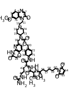 COc1ccc2ncc(=O)n(CCN3CCC(N(Cc4ccc5c(n4)NC(=O)CO5)C(=O)OCc4ccc(NC(=O)[C@H](CCCNC(N)=O)NC(=O)[C@@H](NC(=O)CCCCCN5C(=O)C=CC5=O)C(C)C)cc4)CC3)c2c1